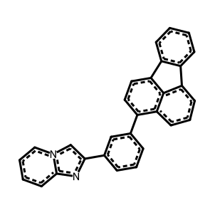 c1cc(-c2cn3ccccc3n2)cc(-c2ccc3c4c(cccc24)-c2ccccc2-3)c1